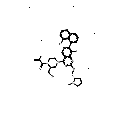 C=C(F)C(=O)N1CCN(c2nc(OC[C@@H]3CCCN3C)nc3c(F)c(-c4cccc5cccc(Cl)c45)ncc23)CC1CC#N